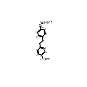 CCCCCCCCCCc1ccc(CCc2ccc(OCCCCC)cc2)nc1